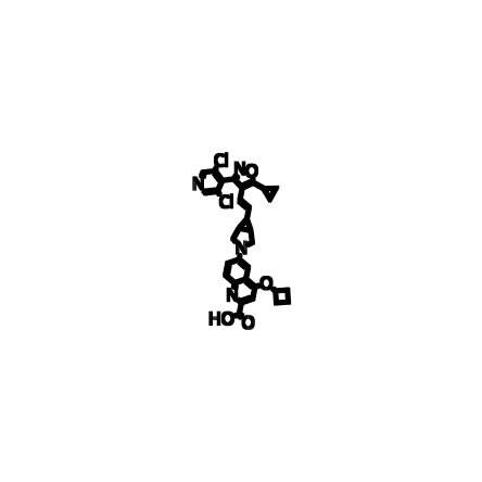 O=C(O)c1cc(OC2CCC2)c2cc(N3CC4C(/C=C/c5c(-c6c(Cl)cncc6Cl)noc5C5CC5)C4C3)ccc2n1